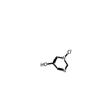 OC1=CN(Cl)CN=C1